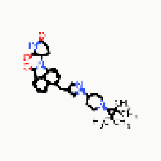 CC1(C)C(N2CCC(n3cc(Cc4ccc5c6c(cccc46)C(=O)N5C4CCC(=O)NC4=O)cn3)CC2)C1(C)C